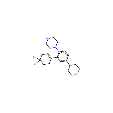 CCC1(CC)CC=C(c2cc(N3CCOCC3)ccc2N2CCNCC2)CC1